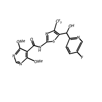 COc1ncnc(OC)c1C(=O)Nc1nc(C(F)(F)F)c(C(O)c2ccc(F)cn2)s1